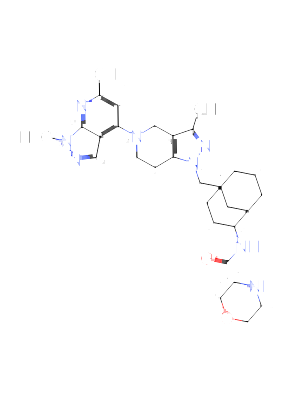 Cc1cc(N2CCc3c(c(C)nn3CC34CCCC(C3)C(NC(=O)[C@H]3COCCN3)CC4)C2)c2cnn(C)c2n1